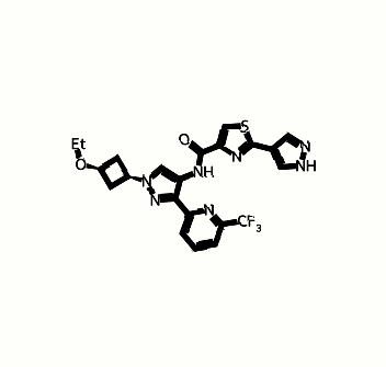 CCO[C@H]1C[C@@H](n2cc(NC(=O)c3csc(-c4cn[nH]c4)n3)c(-c3cccc(C(F)(F)F)n3)n2)C1